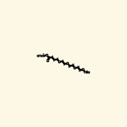 CCCCCCOC(=O)CCCOCCOCCOCCOCCCC